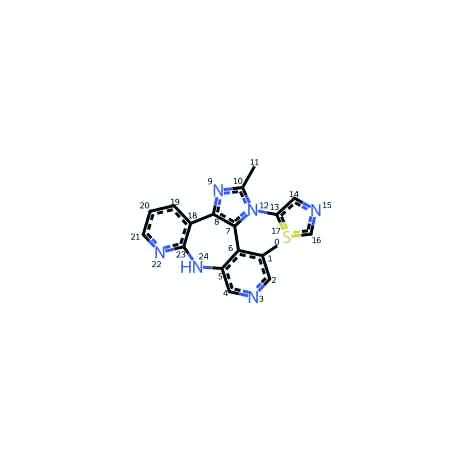 Cc1cncc2c1-c1c(nc(C)n1-c1cncs1)-c1cccnc1N2